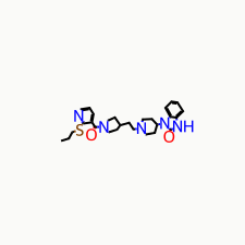 CCCSc1ncccc1C(=O)N1CCC(CCN2CCC(n3c(=O)[nH]c4ccccc43)CC2)CC1